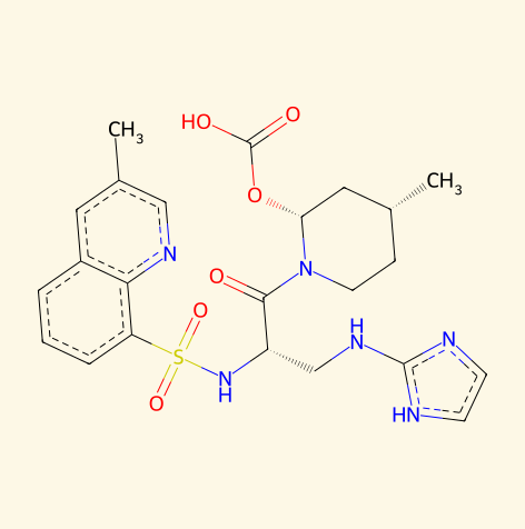 Cc1cnc2c(S(=O)(=O)N[C@@H](CNc3ncc[nH]3)C(=O)N3CC[C@@H](C)C[C@H]3OC(=O)O)cccc2c1